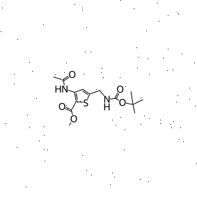 COC(=O)c1sc(CNC(=O)OC(C)(C)C)cc1NC(C)=O